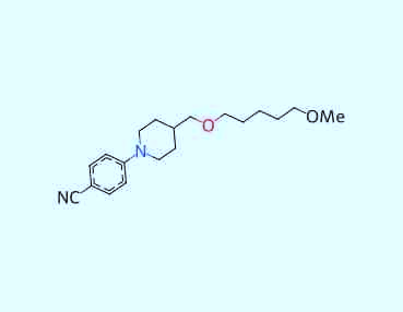 COCCCCCOCC1CCN(c2ccc(C#N)cc2)CC1